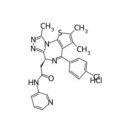 Cc1sc2c(c1C)C(c1ccc(Cl)cc1)=N[C@@H](CC(=O)Nc1cccnc1)c1nnc(C)n1-2.Cl